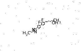 C=CCc1ncc(-c2ccc(-c3ccc(/C=C/CCCC(C)O)c(F)c3F)cc2)cn1